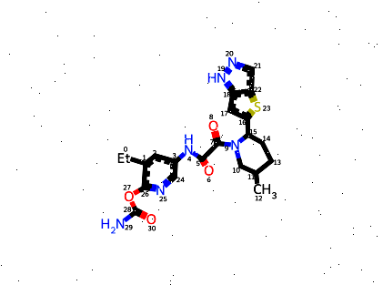 CCc1cc(NC(=O)C(=O)N2CC(C)CCC2c2cc3[nH]ncc3s2)cnc1OC(N)=O